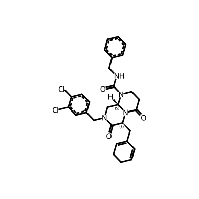 O=C1[C@H](CC2=CCCC=C2)N2C(=O)CCN(C(=O)NCc3ccccc3)[C@H]2CN1Cc1ccc(Cl)c(Cl)c1